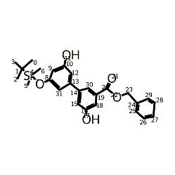 CC(C)(C)[Si](C)(C)Oc1cc(O)cc(-c2cc(O)cc(C(=O)OCc3ccccc3)c2)c1